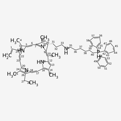 C=Cc1c(C)c2cc3nc(c(C)c4cc(C)c(cc5nc(cc1[nH]2)C(C)=C5CC)[nH]4)[C@@H](CCCNCCCCCC[PH](c1ccccc1)(c1ccccc1)c1ccccc1)[C@@H]3C